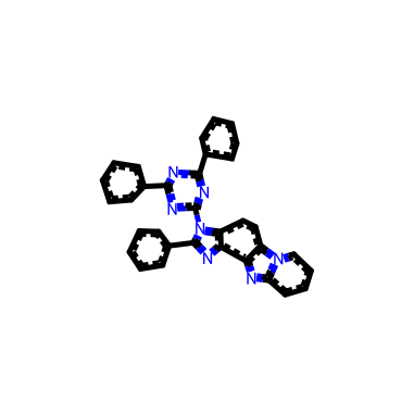 c1ccc(-c2nc(-c3ccccc3)nc(-n3c(-c4ccccc4)nc4c5nc6ccccn6c5ccc43)n2)cc1